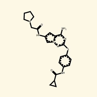 Nc1nc(Sc2ccc(NC(=O)C3CC3)cc2)nn2cc(NC(=O)CN3CCCC3)cc12